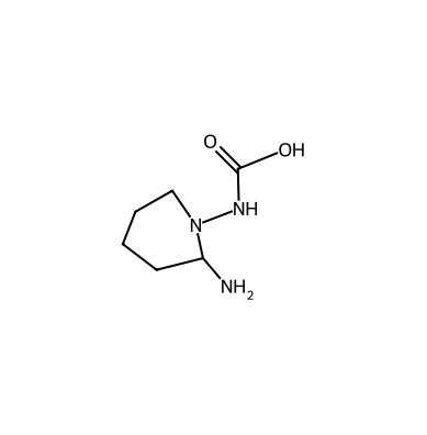 NC1CCCCN1NC(=O)O